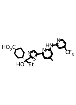 CCC(O)(c1ncc(-c2cc(C)cc(Nc3cc(C(F)(F)F)ccn3)n2)s1)[C@H]1CC[C@H](C(=O)O)CC1